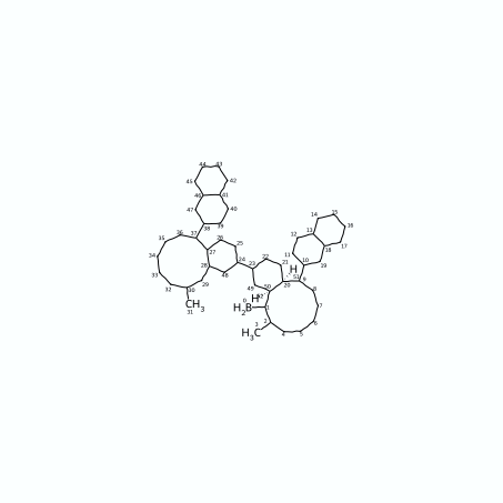 BC1C(C)CCCCCC(C2CCC3CCCCC3C2)[C@@H]2CCC(C3CCC4C(CC(C)CCCCCC4C4CCC5CCCCC5C4)C3)C[C@H]12